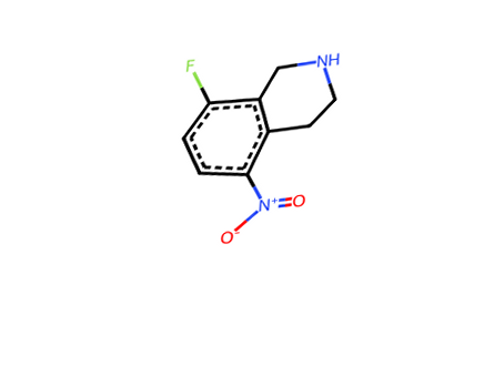 O=[N+]([O-])c1ccc(F)c2c1CCNC2